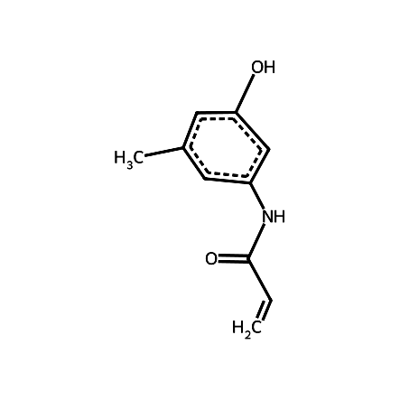 C=CC(=O)Nc1cc(C)cc(O)c1